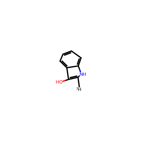 [2H]c1[nH]c2ccccc2c1O